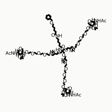 CC(=O)N[C@H]1[C@H]2OC[C@](COCCOCCOCCOCCn3cc(COCC(COCc4cn(CCOCCOCCOCCOC[C@@]56CO[C@@H](O5)[C@H](NC(C)=O)[C@H]5OC(C)(C)O[C@H]56)nn4)(COCc4cn(CCOCCOCCOCCO[C@H](C)[C@@]56CO[C@H](O5)[C@H](NC(C)=O)[C@H]5OC(C)(C)O[C@H]56)nn4)NC(=O)CCCCCNC(=O)CCCCCOCc4ccccc4)nn3)(O2)[C@@H]2OC(C)(C)O[C@H]12